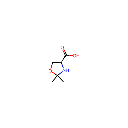 CC1(C)N[C@H](C(=O)O)CO1